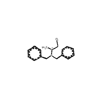 [CH2][C@@H](CCl)N(Cc1ccccc1)Cc1ccccc1